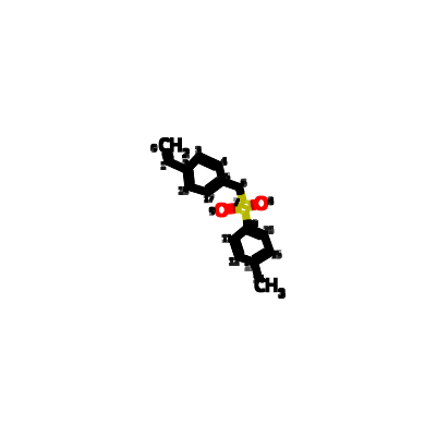 C=Cc1ccc(CS(=O)(=O)c2ccc(C)cc2)cc1